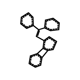 C(=C(c1ccccc1)c1ccccc1)c1cccc2c1-c1ccccc1-2